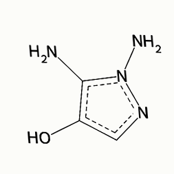 Nc1c(O)cnn1N